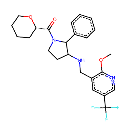 COc1ncc(C(F)(F)F)cc1CNC1CCN(C(=O)[C@@H]2CCCCO2)C1c1ccccc1